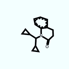 O=C1CCc2ccccc2N1C(C1CC1)C1CC1